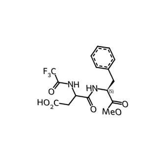 COC(=O)[C@H](Cc1ccccc1)NC(=O)C(CC(=O)O)NC(=O)C(F)(F)F